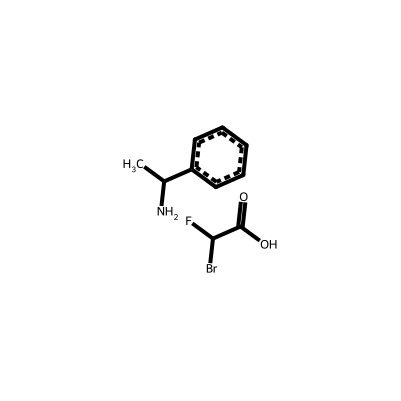 CC(N)c1ccccc1.O=C(O)C(F)Br